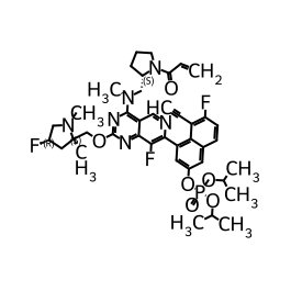 C#Cc1c(F)ccc2cc(OP(=O)(OC(C)C)OC(C)C)cc(-c3ncc4c(N(C)C[C@@H]5CCCN5C(=O)C=C)nc(OC[C@]5(C)C[C@@H](F)CN5C)nc4c3F)c12